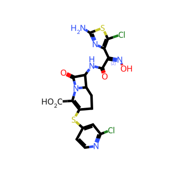 Nc1nc(/C(=N/O)C(=O)NC2C(=O)N3C(C(=O)O)=C(Sc4ccnc(Cl)c4)CCC23)c(Cl)s1